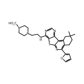 CC1(C)CCc2c(-c3ccco3)nc3sc4c(NCCN5CCN(C(=O)O)CC5)ncnc4c3c2C1